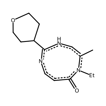 CCn1c(C)c[nH]c(C2CCOCC2)nccc1=O